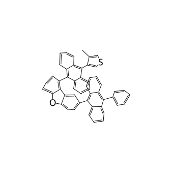 Cc1cscc1-c1c2ccccc2c(-c2cccc3oc4ccc(-c5c6ccccc6c(-c6ccccc6)c6ccccc56)cc4c23)c2ccccc12